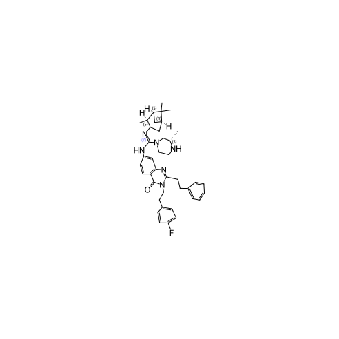 C[C@@H]1C(/N=C(/Nc2ccc3c(=O)n(CCc4ccc(F)cc4)c(CCc4ccccc4)nc3c2)N2CCN[C@@H](C)C2)C[C@H]2C[C@@H]1C2(C)C